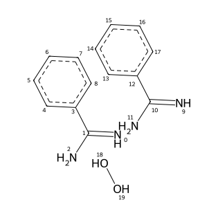 N=C(N)c1ccccc1.N=C(N)c1ccccc1.OO